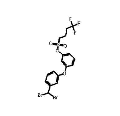 O=S(=O)(CCCC(F)(F)F)Oc1cccc(Oc2cccc(C(Br)Br)c2)c1